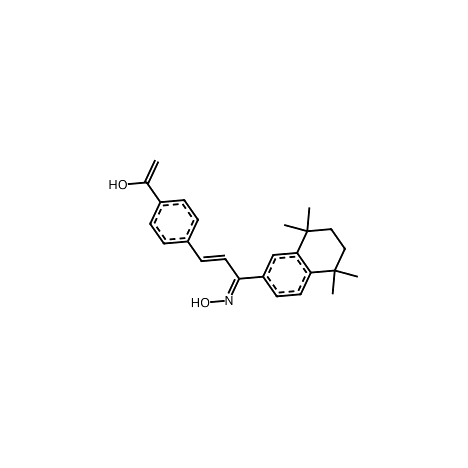 C=C(O)c1ccc(/C=C/C(=N\O)c2ccc3c(c2)C(C)(C)CCC3(C)C)cc1